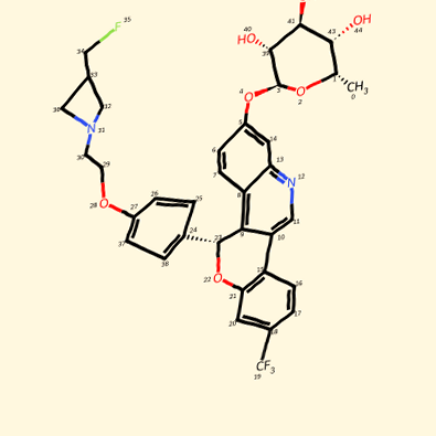 C[C@@H]1O[C@@H](Oc2ccc3c4c(cnc3c2)-c2ccc(C(F)(F)F)cc2O[C@@H]4c2ccc(OCCN3CC(CF)C3)cc2)[C@H](O)[C@@H](O)[C@@H]1O